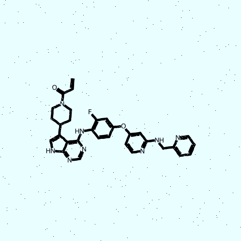 C=CC(=O)N1CCC(c2c[nH]c3ncnc(Nc4ccc(Oc5ccnc(NCc6ccccn6)c5)cc4F)c23)CC1